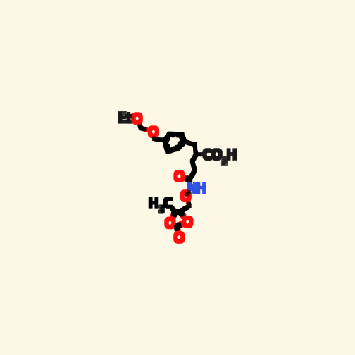 CCOCOCc1ccc(CC(CCC(=O)NOCc2oc(=O)oc2C)C(=O)O)cc1